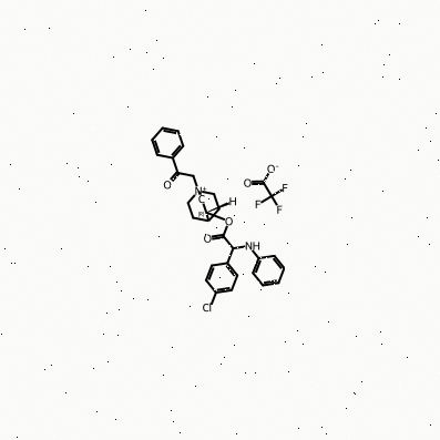 O=C(C[N+]12CCC(CC1)[C@@H](OC(=O)C(Nc1ccccc1)c1ccc(Cl)cc1)C2)c1ccccc1.O=C([O-])C(F)(F)F